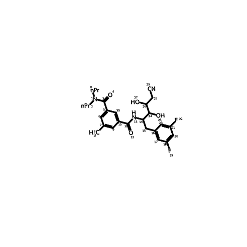 CCCN(CCC)C(=O)c1cc(C)cc(C(=O)NC(Cc2cc(F)cc(F)c2)C(O)C(O)CC#N)c1